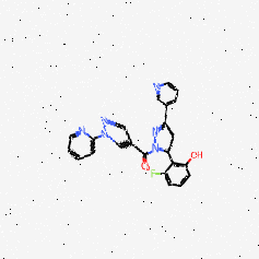 O=C(c1cnn(-c2ccccn2)c1)N1N=C(c2cccnc2)CC1c1c(O)cccc1F